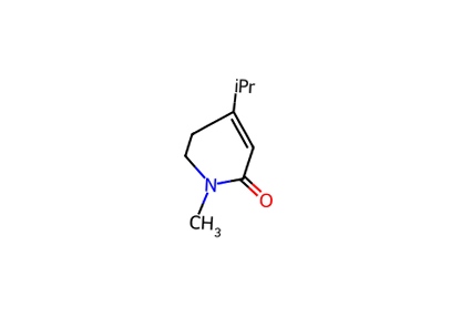 CC(C)C1=CC(=O)N(C)CC1